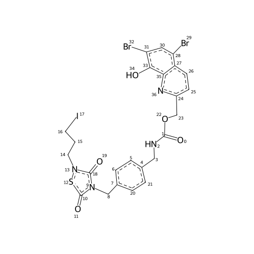 O=C(NCc1ccc(Cn2c(=O)sn(CCCI)c2=O)cc1)OCc1ccc2c(Br)cc(Br)c(O)c2n1